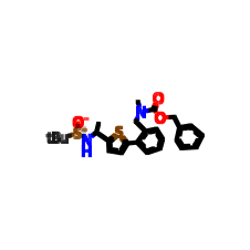 CC(N[S+]([O-])C(C)(C)C)c1ccc(-c2ccccc2CN(C)C(=O)OCc2ccccc2)s1